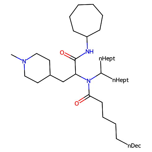 CCCCCCCCCCCCCCC(=O)N(C(CCCCCCC)CCCCCCC)C(CC1CCN(C)CC1)C(=O)NC1CCCCCC1